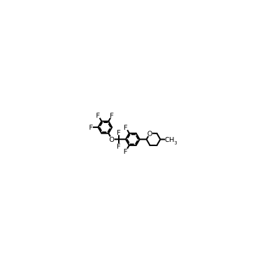 CC1CCC(c2cc(F)c(C(F)(F)Oc3cc(F)c(F)c(F)c3)c(F)c2)OC1